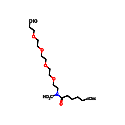 CCCCCCCCCCCCCCC(=O)N(CCOCCOCCOCCOCC[C]=O)C(=O)O